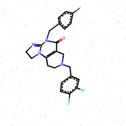 O=C1C2=C(CCN(Cc3ccc(F)c(F)c3)C2)N2CCN=C2N1Cc1ccc(I)cc1